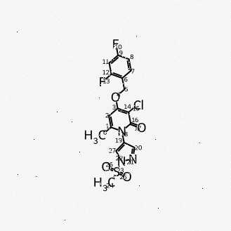 Cc1cc(OCc2ccc(F)cc2F)c(Cl)c(=O)n1-c1cnn(S(C)(=O)=O)c1